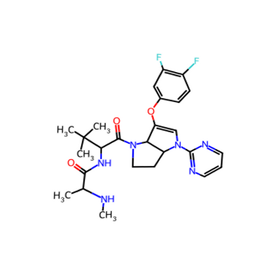 CNC(C)C(=O)NC(C(=O)N1CCC2C1C(Oc1ccc(F)c(F)c1)=CN2c1ncccn1)C(C)(C)C